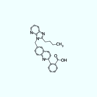 CCCCc1nc2cccnc2n1Cc1ccc2nc(-c3ccccc3C(=O)O)ccc2c1